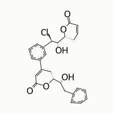 O=C1C=CC[C@H]([C@H](O)[C@H](Cl)c2cccc(C3=CC(=O)O[C@@H]([C@H](O)Cc4ccccc4)C3)c2)O1